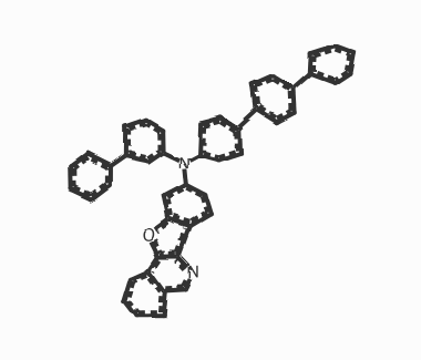 c1ccc(-c2ccc(-c3ccc(N(c4cccc(-c5ccccc5)c4)c4ccc5c(c4)oc4c6ccccc6cnc54)cc3)cc2)cc1